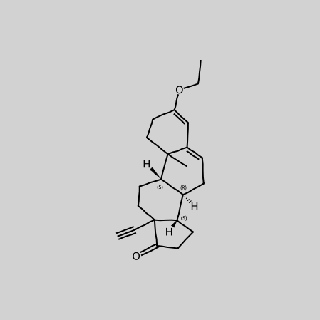 C#CC12CC[C@H]3[C@@H](CC=C4C=C(OCC)CCC43C)[C@@H]1CCC2=O